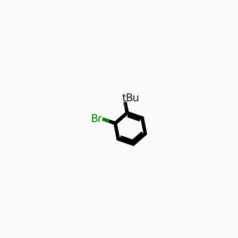 CC(C)(C)C1=CC=C=CC1Br